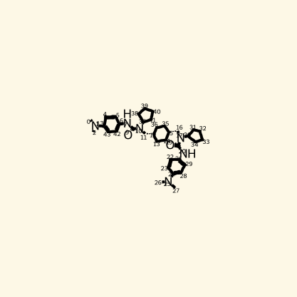 CN(C)c1ccc(NC(=O)N(C[C@H]2CC[C@@H](CN(C(=O)Nc3ccc(N(C)C)cc3)C3CCCC3)CC2)C2CCCC2)cc1